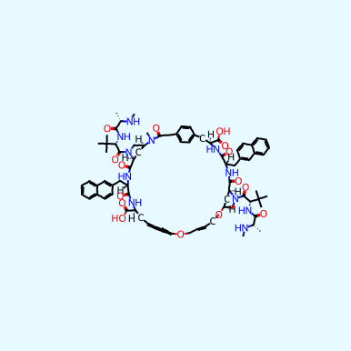 CN[C@@H](C)C(=O)N[C@H](C(=O)N1C[C@@H]2C[C@H]1C(=O)N[C@@H](Cc1ccc3ccccc3c1)C(=O)N[C@H](C(=O)O)Cc1ccc(cc1)C(=O)N(C)[C@H]1C[C@@H](C(=O)N[C@@H](Cc3ccc4ccccc4c3)C(=O)N[C@H](C(=O)O)Cc3ccc(cc3)OC/C=C/CO2)N(C(=O)[C@@H](NC(=O)[C@H](C)NC)C(C)(C)C)C1)C(C)(C)C